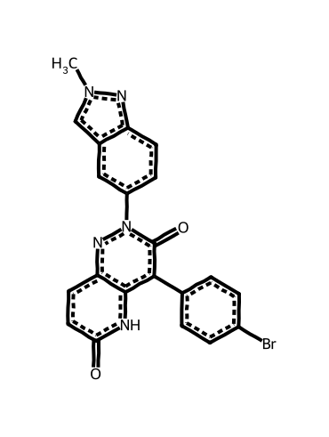 Cn1cc2cc(-n3nc4ccc(=O)[nH]c4c(-c4ccc(Br)cc4)c3=O)ccc2n1